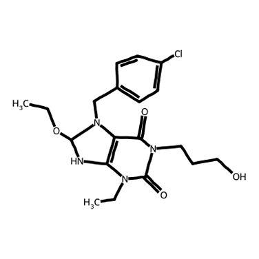 CCOC1Nc2c(c(=O)n(CCCO)c(=O)n2CC)N1Cc1ccc(Cl)cc1